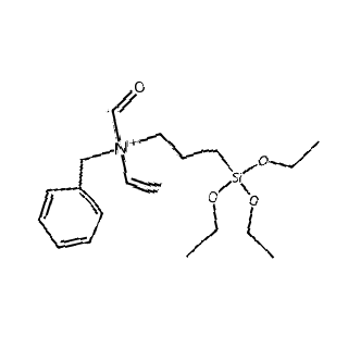 C=C[N+]([C]=O)(CCC[Si](OCC)(OCC)OCC)Cc1ccccc1